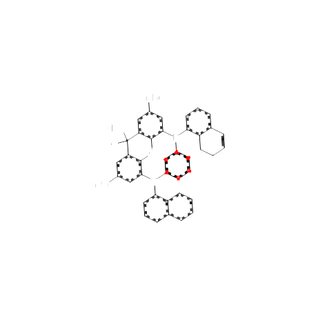 CCCCc1cc(P(c2ccccc2)c2cccc3c2CCC=C3)c2c(c1)C(C)(C)c1cc(CCCC)cc(P(c3ccccc3)c3cccc4ccccc34)c1O2